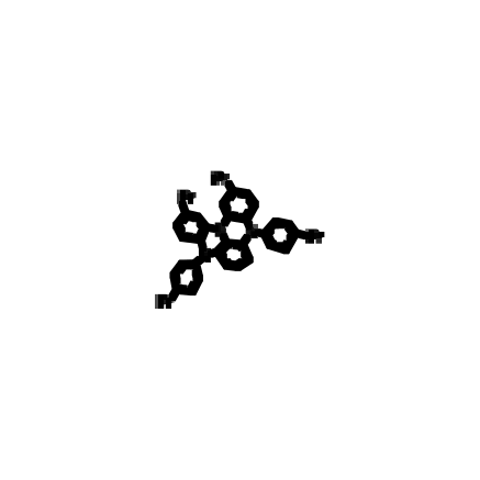 CC(C)c1ccc(N2c3ccc(C(C)C)cc3B3c4cc(C(C)C)ccc4N(c4ccc(C(C)C)cc4)c4cccc2c43)cc1